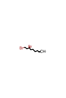 [CH]=CCCCCC(Br)CCBr